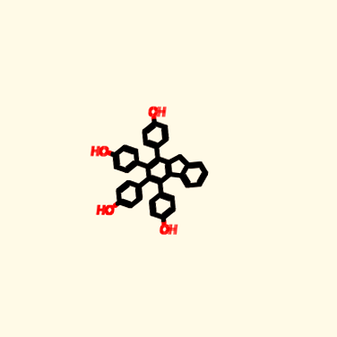 Oc1ccc(-c2c3c(c(-c4ccc(O)cc4)c(-c4ccc(O)cc4)c2-c2ccc(O)cc2)-c2ccccc2C3)cc1